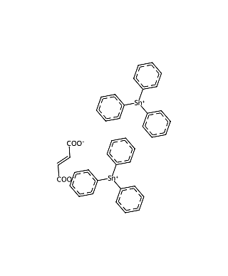 O=C([O-])C=CC(=O)[O-].c1cc[c]([Sn+]([c]2ccccc2)[c]2ccccc2)cc1.c1cc[c]([Sn+]([c]2ccccc2)[c]2ccccc2)cc1